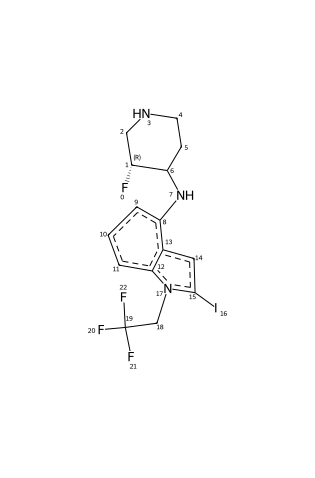 F[C@@H]1CNCCC1Nc1cccc2c1cc(I)n2CC(F)(F)F